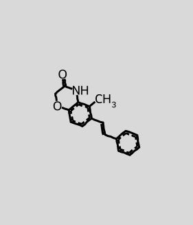 Cc1c(/C=C/c2ccccc2)ccc2c1NC(=O)CO2